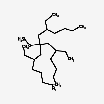 CCCCC(CC)CC(CC(CC)CCCC)(CC(CC)CCCC)O[SiH3]